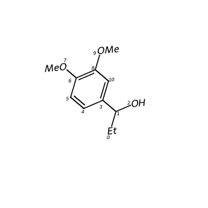 [CH2]CC(O)c1ccc(OC)c(OC)c1